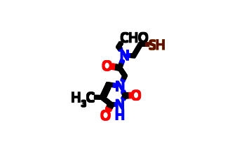 Cc1cn(CC(=O)N(CC=O)CCS)c(=O)[nH]c1=O